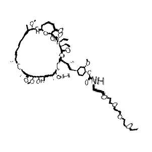 CCOCCOCCOCCOCCNC(=O)O[C@@H]1CC[C@@H](C[C@@H](C)C2C[C@@H](O)[C@H](C)/C=C(\C)[C@@H](O)[C@@H](OC)C(=O)[C@H](C)C[C@H](C)/C=C/C=C/C=C(\C)[C@@H](OC)C[C@@H]3CCCC(=O)C(O)(O3)C(=O)N(CC)[C@@H](CC)C(=O)O2)C[C@H]1OC